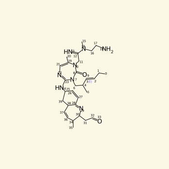 CC/C=C/C(C)CN1C(=O)N(CC(=N)N(C)CCN)C(C)=CN=C1NC1C=CC2=NC(CC=O)C(C)C=CC2C1